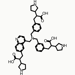 O=C(O)C(Cc1cccc(CN(Cc2cccc(CC(C(=O)O)C3CCNC3)c2)Cc2ccnc3ccc(CC(C(=O)O)C4CCNC4)cc23)c1)C1CCNC1